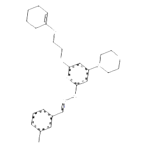 Cc1cccc(/C=N/Nc2cc(N3CCOCC3)cc(OCC[N]C3=CCCCC3)n2)c1